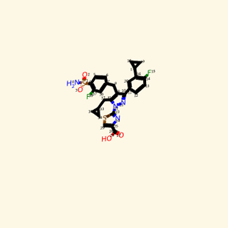 NS(=O)(=O)c1ccc(Cc2c(-c3ccc(F)c(C4CC4)c3)nn(-c3nc(C(=O)O)cs3)c2CC2CC2)cc1F